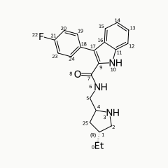 CC[C@H]1CNC(CNC(=O)c2[nH]c3ccccc3c2-c2ccc(F)cc2)C1